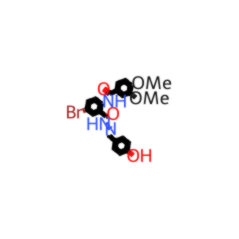 COc1ccc(C(=O)Nc2ccc(Br)cc2C(=O)NN=Cc2ccc(O)cc2)cc1OC